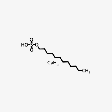 CCCCCCCCCCCCOS(=O)(=O)O.[GaH3]